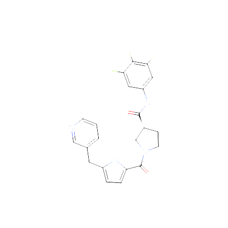 O=C(Nc1cc(F)c(F)c(F)c1)[C@H]1CCN(C(=O)c2ccc(Cc3cccnc3)[nH]2)C1